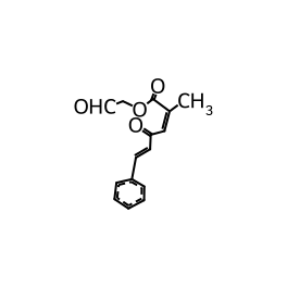 CC(=CC(=O)C=Cc1ccccc1)C(=O)OCC=O